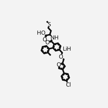 CSCCC(NC(=O)c1ccc(COCc2cc(-c3ccc(Cl)cc3)co2)cc1-c1ccccc1C)C(=O)O.[LiH]